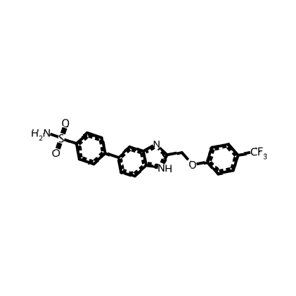 NS(=O)(=O)c1ccc(-c2ccc3[nH]c(COc4ccc(C(F)(F)F)cc4)nc3c2)cc1